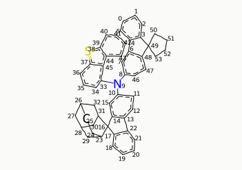 c1ccc2c(c1)-c1cc(N(c3ccc4c(c3)C3(c5ccccc5-4)C4CCC5CC(C4)CC3C5)c3cccc4sc5ccccc5c34)ccc1C21CCCC1